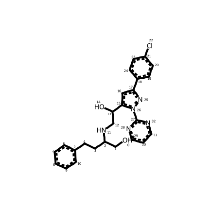 OCC(CCc1ccccc1)NCC(O)c1cc(-c2ccc(Cl)cc2)nn1-c1ncccn1